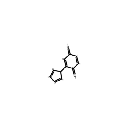 O=C1C=CC(=O)C(C2C=CC=C2)=C1